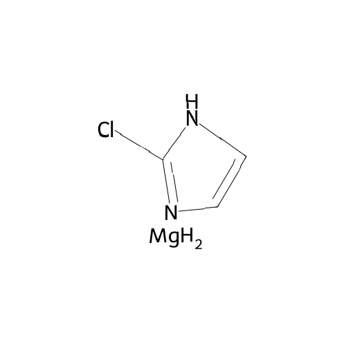 Clc1ncc[nH]1.[MgH2]